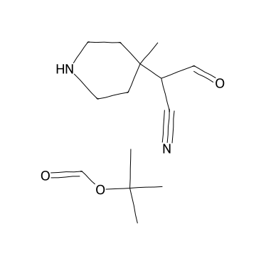 CC(C)(C)OC=O.CC1(C(C#N)C=O)CCNCC1